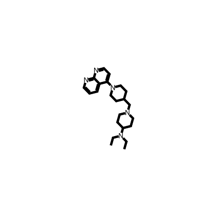 CCN(CC)C1CCN(CC2CCN(c3ccnc4ncccc34)CC2)CC1